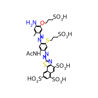 CC(=O)Nc1cc(N=Nc2cc(OCCCS(=O)(=O)O)c(N)cc2C)c(SCCCS(=O)(=O)O)cc1N=Nc1nc2c(S(=O)(=O)O)cc3c(S(=O)(=O)O)cc(S(=O)(=O)O)cc3c2s1